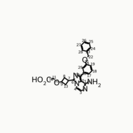 Nc1nccn2c(C3CC(OCC(=O)O)C3)nc(-c3cccc(OCc4ccccc4)c3)c12